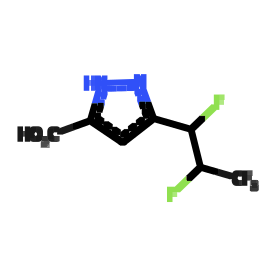 O=C(O)c1cc(C(F)C(F)C(F)(F)F)n[nH]1